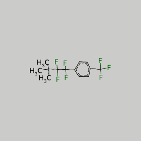 CC(C)(C)C(F)(F)C(F)(F)c1ccc(C(F)(F)F)cc1